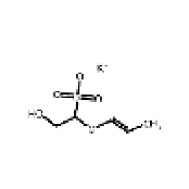 CC=COC(CO)S(=O)(=O)[O-].[K+]